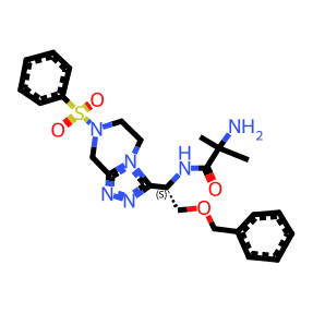 CC(C)(N)C(=O)N[C@H](COCc1ccccc1)c1nnc2n1CCN(S(=O)(=O)c1ccccc1)C2